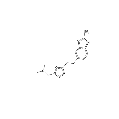 CN(C)Cc1ccc(CCc2ccc3nc(N)sc3c2)o1